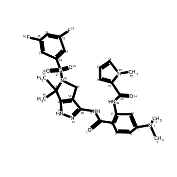 CN(C)c1ccc(C(=O)Nc2n[nH]c3c2CN(S(=O)(=O)c2cc(F)cc(F)c2)C3(C)C)c(NC(=O)c2cccn2C)c1